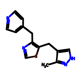 Cc1n[nH]cc1Cc1scnc1Cc1ccncc1